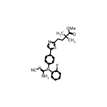 COC(=O)C(C)(C)CCc1ncc(-c2ccc(N(C(N)=NC#N)c3ccccc3F)cc2)s1